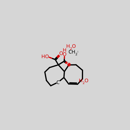 O.O.O=C(O)C1(C(=O)O)CCCCCC2C=CCCCCC21.[CH2]